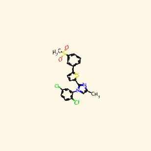 Cc1cn(-c2cc(Cl)ccc2Cl)c(-c2ccc(-c3cccc(S(C)(=O)=O)c3)s2)n1